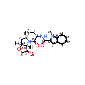 CC(C)C[C@H](NC(=O)c1cc2ccccc2n1C)C(=O)N1CC[C@H]2OCC(=O)[C@H]21